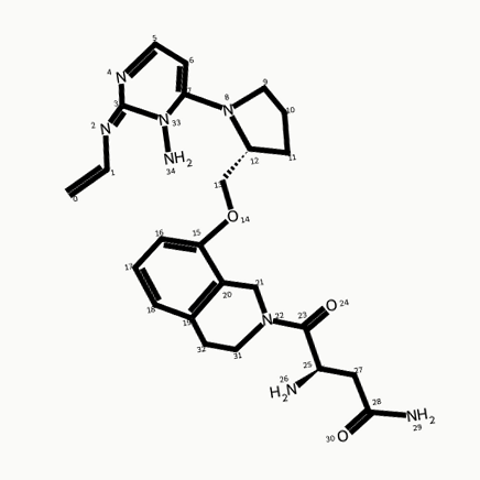 C=C/N=c1/nccc(N2CCC[C@@H]2COc2cccc3c2CN(C(=O)[C@H](N)CC(N)=O)CC3)n1N